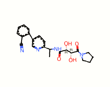 CC(NC(=O)[C@H](O)[C@@H](O)C(=O)N1CCCC1)c1ccc(-c2ccccc2C#N)cn1